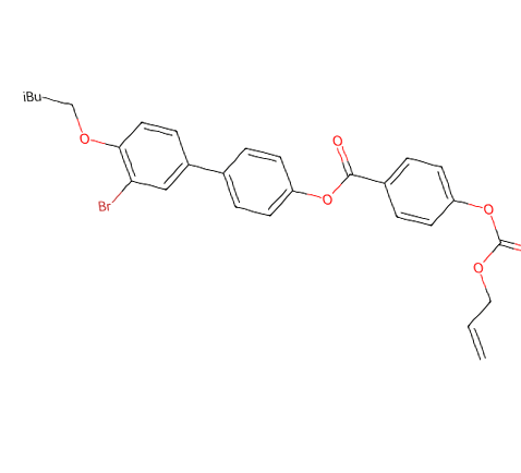 C=CCOC(=O)Oc1ccc(C(=O)Oc2ccc(-c3ccc(OCC(C)CC)c(Br)c3)cc2)cc1